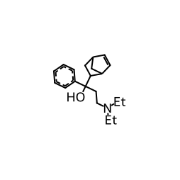 CCN(CC)CCC(O)(c1ccccc1)C1CC2C=CC1C2